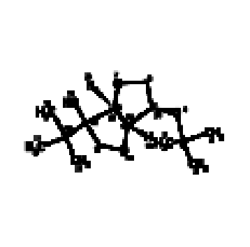 CC(C)(C)O[C@@H]1CO[C@H]2[C@@H]1OCC2(O)C(C)(C)C